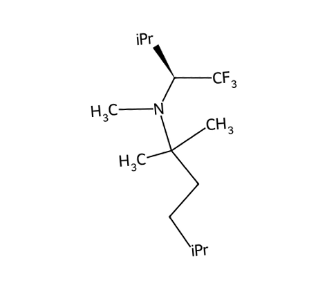 CC(C)CCC(C)(C)N(C)[C@@H](C(C)C)C(F)(F)F